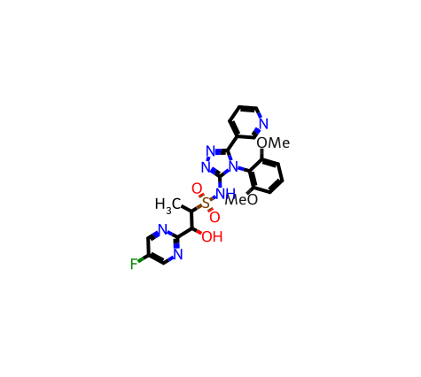 COc1cccc(OC)c1-n1c(NS(=O)(=O)C(C)C(O)c2ncc(F)cn2)nnc1-c1cccnc1